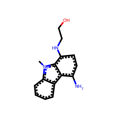 Cn1c2ccccc2c2c(N)ccc(NCCO)c21